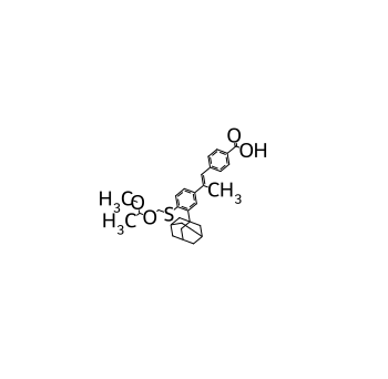 COC(C)OCSc1ccc(/C(C)=C/c2ccc(C(=O)O)cc2)cc1C12CC3CC(CC(C3)C1)C2